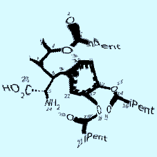 CCCCCC(=O)OC(C)C(C)C(c1ccc(OC(=O)C(C)CCC)c(OC(=O)C(C)CCC)c1)[C@H](N)C(=O)O